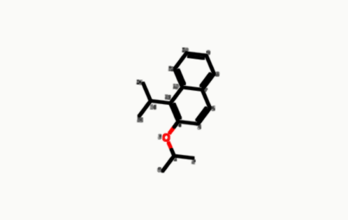 CC(C)Oc1ccc2ccccc2c1C(C)C